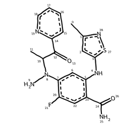 Cc1cc(Nc2cc(N(N)C(C)C(=O)c3ccccn3)c(F)cc2C(N)=O)sn1